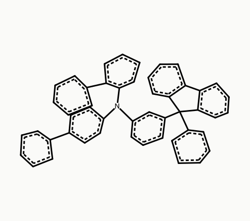 c1ccc(-c2ccc(N(c3cccc(C4(c5ccccc5)c5ccccc5-c5ccccc54)c3)c3ccccc3-c3ccccc3)cc2)cc1